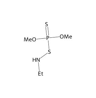 CCNSP(=S)(OC)OC